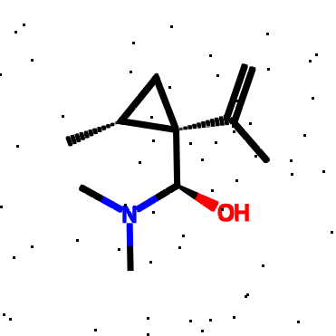 C=C(C)[C@@]1([C@@H](O)N(C)C)C[C@H]1C